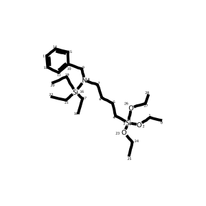 CCO[Si](CCCCN(Cc1ccccc1)[Si](CC)(CC)CC)(OCC)OCC